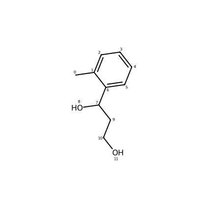 Cc1ccccc1C(O)CCO